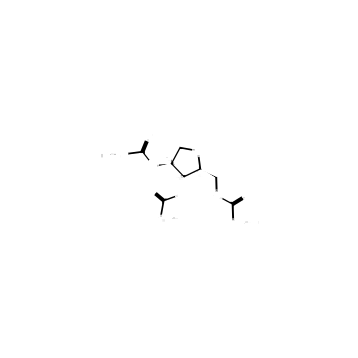 CCCCCC(=O)OC[C@@H]1OC[C@H](OC(=O)CCCCC)[C@H]1OC(=O)CCCCC